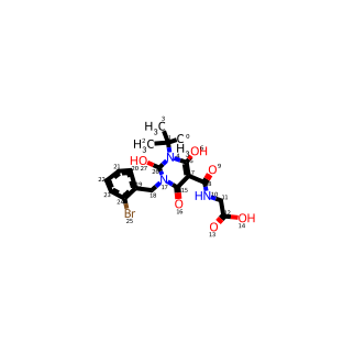 CC(C)(C)N1C(O)=C(C(=O)NCC(=O)O)C(=O)N(Cc2ccccc2Br)C1O